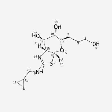 OCCC[C@H]1O[C@@H]2SC(NCC3CC3)=N[C@@H]2[C@@H](O)[C@@H]1O